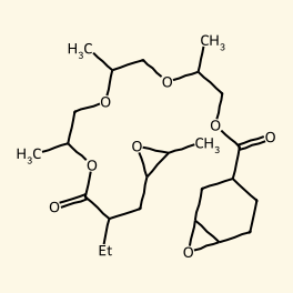 CCC(CC1OC1C)C(=O)OC(C)COC(C)COC(C)COC(=O)C1CCC2OC2C1